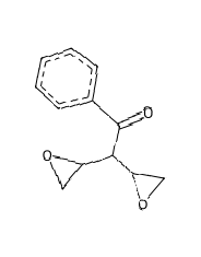 O=C(c1ccccc1)C(C1CO1)C1CO1